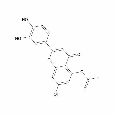 CC(=O)Oc1cc(O)cc2oc(-c3ccc(O)c(O)c3)cc(=O)c12